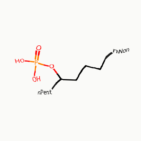 CCCCCCCCCCCCC(CCCCC)OP(=O)(O)O